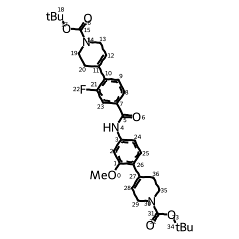 COc1cc(NC(=O)c2ccc(C3=CCN(C(=O)OC(C)(C)C)CC3)c(F)c2)ccc1C1=CCN(C(=O)OC(C)(C)C)CC1